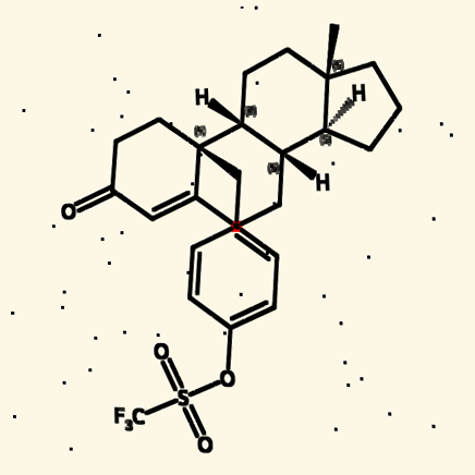 C[C@@]12CCC[C@H]1[C@@H]1CCC3=CC(=O)CC[C@]3(Cc3ccc(OS(=O)(=O)C(F)(F)F)cc3)[C@@H]1CC2